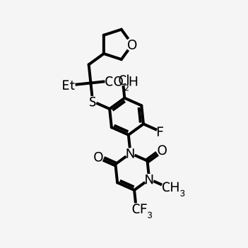 CCC(CC1CCOC1)(Sc1cc(-n2c(=O)cc(C(F)(F)F)n(C)c2=O)c(F)cc1Cl)C(=O)O